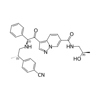 C[C@H](CN[C@H](C(=O)c1cnn2cc(C(=O)NC[C@@H](C)O)ccc12)c1ccccc1)c1ccc(C#N)cc1